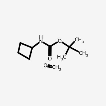 C=O.CC(C)(C)OC(=O)NC1CCC1